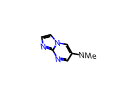 CNc1cnc2nccn2c1